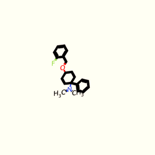 CN(C)[C@]1(c2ccccc2)CC[C@H](OCc2ccccc2F)CC1